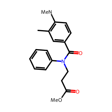 CNc1ccc(C(=O)N(CCC(=O)OC)c2ccccc2)cc1C